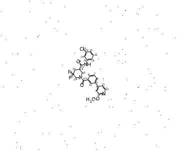 COc1cc(-c2cccc(C(=O)N3CC(C(=O)Nc4cccc(Cl)c4)CC(F)(F)C3)c2)ccn1